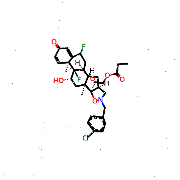 CCC(=O)OCC(=O)[C@@]12ON(Cc3ccc(Cl)cc3)C[C@@H]1C[C@H]1[C@@H]3C[C@H](F)C4=CC(=O)C=C[C@]4(C)[C@@]3(F)[C@@H](O)C[C@@]12C